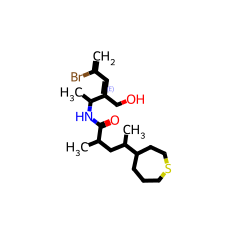 C=C(Br)/C=C(/CO)C(C)NC(=O)C(C)CC(C)C1CCCSCC1